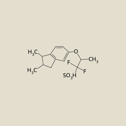 CC1Cc2cc(OC(C)C(F)(F)S(=O)(=O)O)ccc2C1C